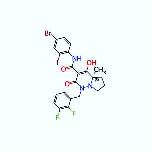 C[C@]12CCCN1N(Cc1cccc(F)c1F)C(=O)C(C(=O)Nc1ccc(Br)cc1I)=C2O